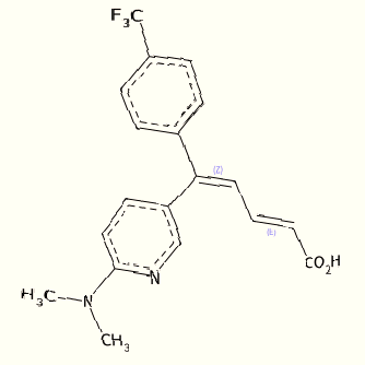 CN(C)c1ccc(/C(=C\C=C\C(=O)O)c2ccc(C(F)(F)F)cc2)cn1